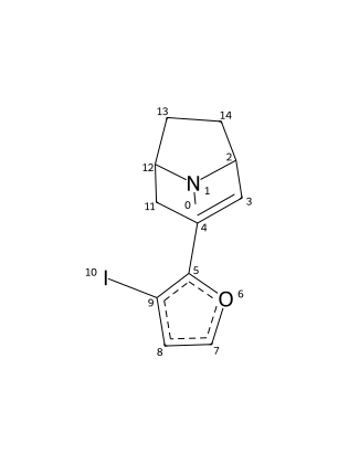 CN1C2C=C(c3occc3I)CC1CC2